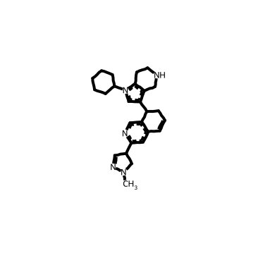 CN1CC(c2cc3c(cn2)C(c2cn(C4CCCCC4)c4c2CNCC4)CC=C3)C=N1